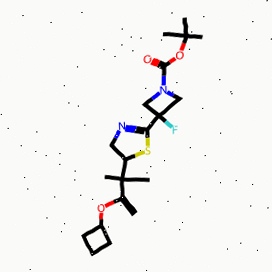 C=C(OC1CCC1)C(C)(C)C1CN=C(C2(F)CN(C(=O)OC(C)(C)C)C2)S1